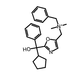 C[N+](C)(Cc1ccccc1)Cc1cnc(C(O)(c2ccccc2)C2CCCC2)o1